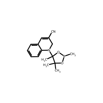 CB1OC(C)(C)C(C)(N2CC(C#N)=Cc3ccccc32)O1